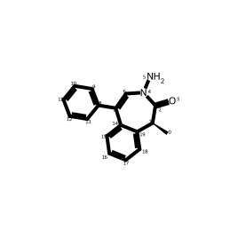 C[C@@H]1C(=O)N(N)C=C(c2ccccc2)c2ccccc21